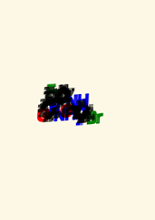 NC1=NC(c2cc(NC(=O)c3ccc(Br)cn3)ccc2F)(C(F)(F)F)CCOC1